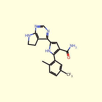 Cc1ccc(C(F)(F)F)cc1-c1[nH]c(-c2ncnc3c2CCN3)cc1C(N)=O